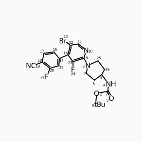 CC(C)(C)OC(=O)NC1CCN(c2ncc(Br)c(-c3ccc(C#N)c(F)c3)c2F)CC1